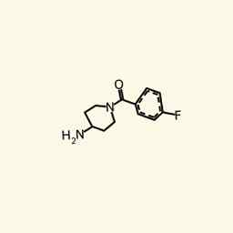 NC1CCN(C(=O)c2ccc(F)cc2)CC1